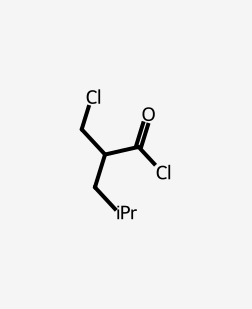 CC(C)CC(CCl)C(=O)Cl